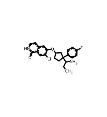 CCC(N)C1(c2ccc(F)cc2)CCC(Oc2cc3cc[nH]c(=O)c3cc2Cl)C1